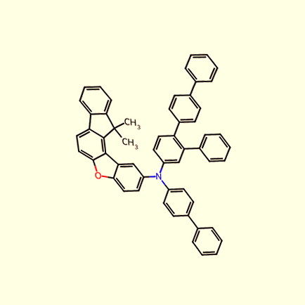 CC1(C)c2ccccc2-c2ccc3oc4ccc(N(c5ccc(-c6ccccc6)cc5)c5ccc(-c6ccc(-c7ccccc7)cc6)c(-c6ccccc6)c5)cc4c3c21